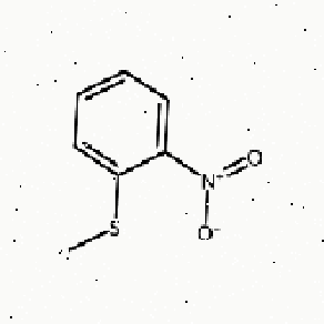 [CH2]Sc1ccccc1[N+](=O)[O-]